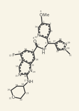 COc1ccc([C@H](NC(=O)c2cc(F)c3cnc(NC4CCOCC4)nc3c2)c2cnn(C)c2)nc1